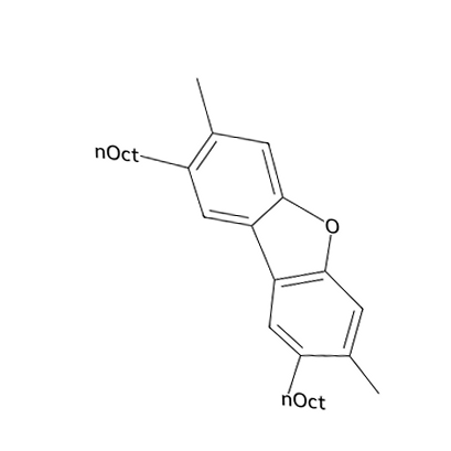 CCCCCCCCc1cc2c(cc1C)oc1cc(C)c(CCCCCCCC)cc12